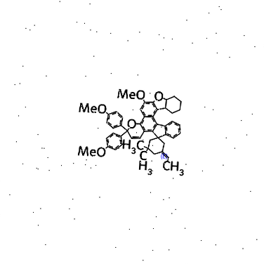 C/C=C1\CC(C)(C)CC2(C1)c1ccccc1-c1c2c2c(c3cc(OC)c4c(c13)C1CCCCC1O4)OC(c1ccc(OC)cc1)(c1ccc(OC)cc1)C=C2